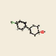 O=C1CC=C(c2ccc(F)cc2)CC1